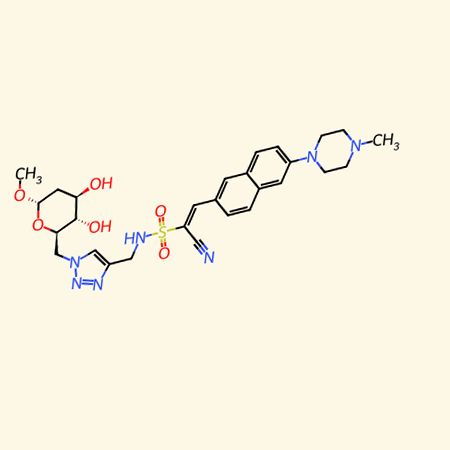 CO[C@@H]1C[C@@H](O)[C@H](O)[C@@H](Cn2cc(CNS(=O)(=O)/C(C#N)=C/c3ccc4cc(N5CCN(C)CC5)ccc4c3)nn2)O1